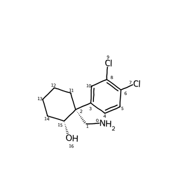 NC[C@@]1(c2ccc(Cl)c(Cl)c2)CCCC[C@H]1O